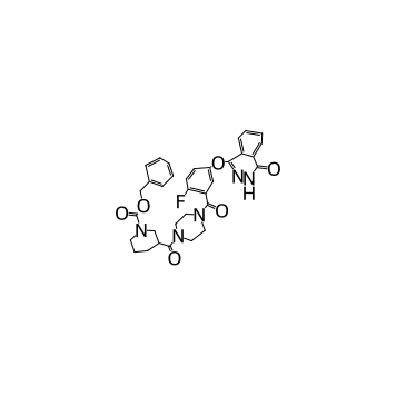 O=C(OCc1ccccc1)N1CCCC(C(=O)N2CCN(C(=O)c3cc(Oc4n[nH]c(=O)c5ccccc45)ccc3F)CC2)C1